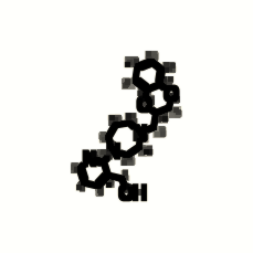 OCc1cccnc1N1CCCN(CC2COc3ccccc3O2)CC1